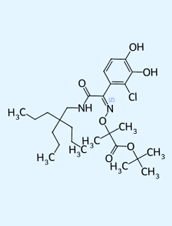 CCCC(CCC)(CCC)CNC(=O)/C(=N\OC(C)(C)C(=O)OC(C)(C)C)c1ccc(O)c(O)c1Cl